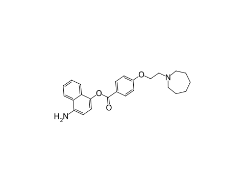 Nc1ccc(OC(=O)c2ccc(OCCN3CCCCCC3)cc2)c2ccccc12